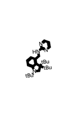 CC(C)(C)N1CC(C(C)(C)C)(C(C)(C)C)c2c(CNc3ncccn3)cccc21